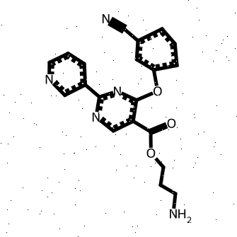 N#Cc1cccc(Oc2nc(-c3cccnc3)ncc2C(=O)OCCCN)c1